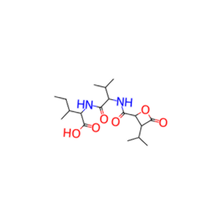 CCC(C)C(NC(=O)C(NC(=O)C1OC(=O)C1C(C)C)C(C)C)C(=O)O